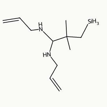 C=CCNC(NCC=C)C(C)(C)C[SiH3]